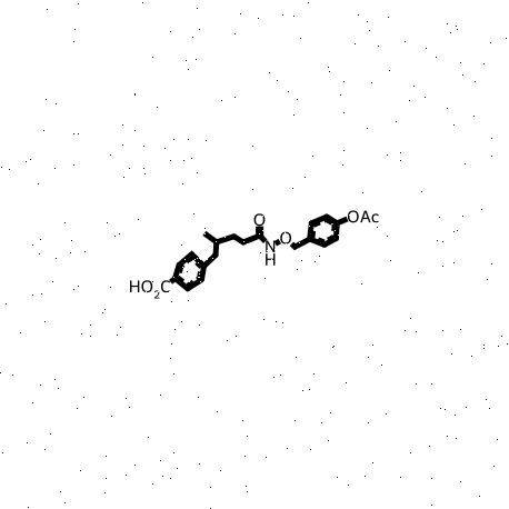 CC(=O)Oc1ccc(CONC(=O)CCC(C)Cc2ccc(C(=O)O)cc2)cc1